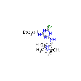 CCOC(=O)C=Nc1nc(Br)nc(NC2CC(C)(C)NC(C)(C)C2)n1